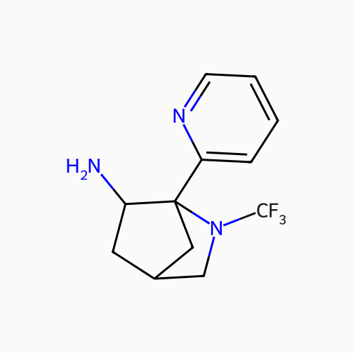 NC1CC2CN(C(F)(F)F)C1(c1ccccn1)C2